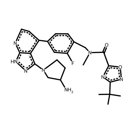 CN(Cc1ccc(-c2ccnc3[nH]nc(N4CCC(N)C4)c23)cc1F)C(=O)c1nc(C(C)(C)C)no1